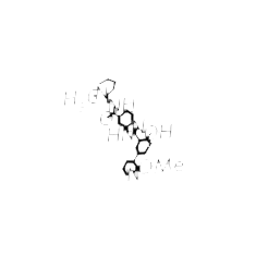 COc1ncccc1-c1ccc(O)c(-c2nc3ccc(C(=O)NCC4CCCCN4C)cc3[nH]2)c1